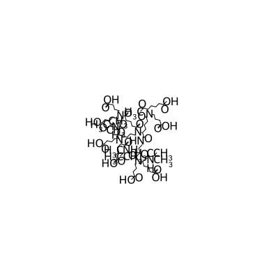 CC(=O)C(CCCC(=O)O)N(CCCC(=O)O)C(=O)CCCC(C(=O)NCCCC(=O)N(CCCC(=O)O)C(CCCC(=O)O)C(=O)NC(C)(C)C)N(CCCC(=O)N(CCCC(=O)O)C(CCCC(=O)O)C(=O)NC(C)(C)C)C(=O)CCCC(=O)N(CCCC(=O)O)C(CCCC(=O)O)C(=O)NC(C)(C)C